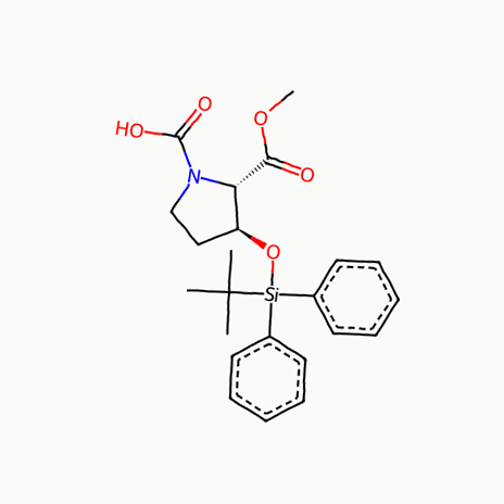 COC(=O)[C@@H]1[C@@H](O[Si](c2ccccc2)(c2ccccc2)C(C)(C)C)CCN1C(=O)O